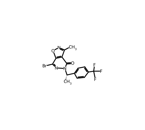 Cc1noc2c(Br)nn([C@@H](C)c3ccc(C(F)(F)F)cc3)c(=O)c12